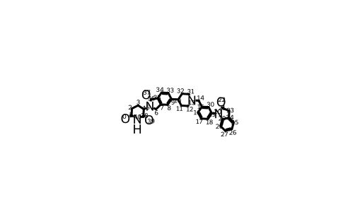 O=C1CCC(N2Cc3cc(C4CCN(Cc5cccc(N6C(=O)Cc7ccccc76)c5)CC4)ccc3C2=O)C(=O)N1